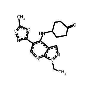 CCn1ncc2c(NC3CCC(=O)CC3)c(-c3nnc(C)o3)cnc21